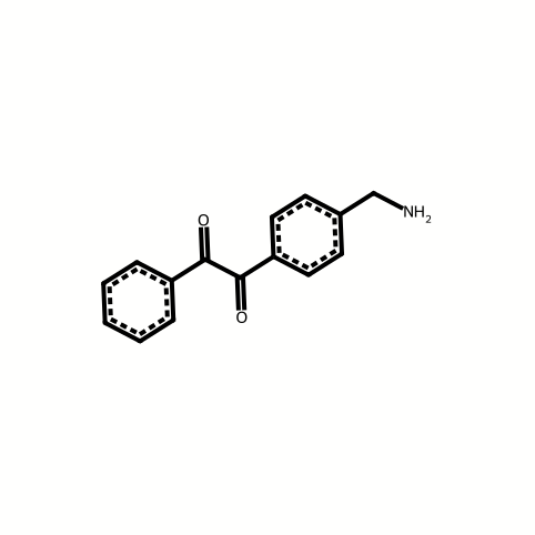 NCc1ccc(C(=O)C(=O)c2ccccc2)cc1